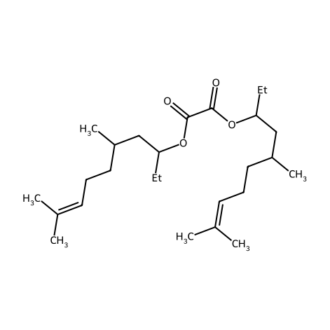 CCC(CC(C)CCC=C(C)C)OC(=O)C(=O)OC(CC)CC(C)CCC=C(C)C